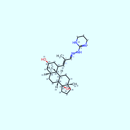 CC(/C=N/NC1=NCCCN1)=C\C1C[C@H](O)C[C@H]2CC[C@@H]3[C@H](CC[C@]4(C)CCC[C@]34O)[C@@]12C